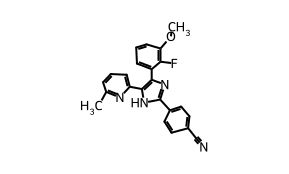 COc1cccc(-c2nc(-c3ccc(C#N)cc3)[nH]c2-c2cccc(C)n2)c1F